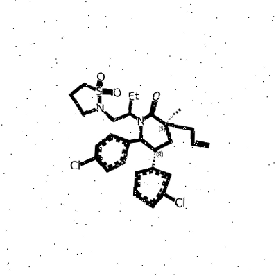 C=CC[C@@]1(C)C[C@H](c2cccc(Cl)c2)C(c2ccc(Cl)cc2)N(C(CC)CN2CCCS2(=O)=O)C1=O